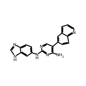 Nc1nc(Nc2ccc3nc[nH]c3c2)ncc1-c1ccc2ncccc2c1